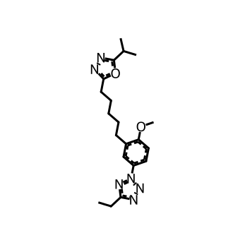 CCc1nnn(-c2ccc(OC)c(CCCCCc3nnc(C(C)C)o3)c2)n1